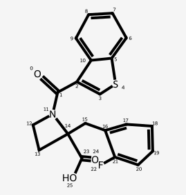 O=C(c1csc2ccccc12)N1CCC1(Cc1ccccc1F)C(=O)O